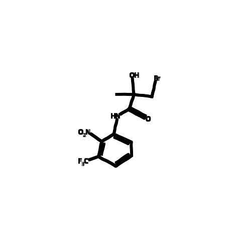 CC(O)(CBr)C(=O)Nc1cccc(C(F)(F)F)c1[N+](=O)[O-]